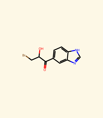 O=C(c1ccc2[nH]cnc2c1)C(O)CBr